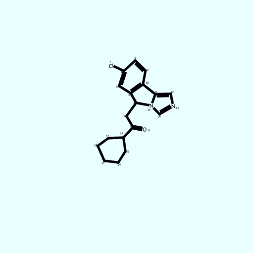 O=C(CC1c2cc(Cl)ccc2-c2cncn21)C1CCCCC1